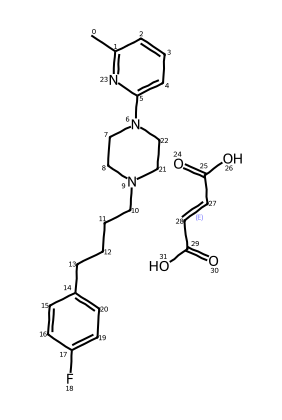 Cc1cccc(N2CCN(CCCCc3ccc(F)cc3)CC2)n1.O=C(O)/C=C/C(=O)O